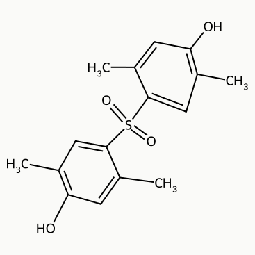 Cc1cc(S(=O)(=O)c2cc(C)c(O)cc2C)c(C)cc1O